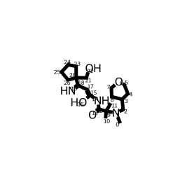 CN(CC1CCOCC1)C(C)(C)C(=O)N/C(O)=C/C(=N)C1(CO)CCCC1